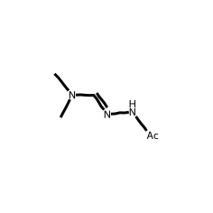 CC(=O)N/N=C/N(C)C